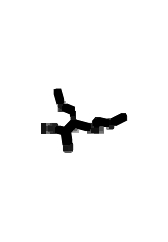 CSCN[C@@H](CSC)C(=O)O